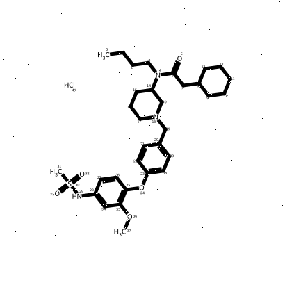 CCCCN(C(=O)CC1CCCCC1)C1CCCN(Cc2ccc(Oc3ccc(NS(C)(=O)=O)cc3OC)cc2)C1.Cl